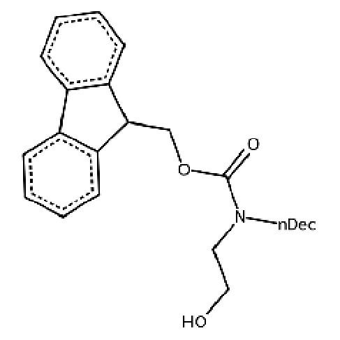 CCCCCCCCCCN(CCO)C(=O)OCC1c2ccccc2-c2ccccc21